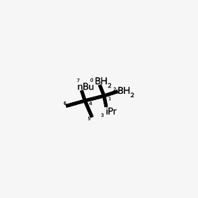 BC(B)(C(C)C)C(C)(C)CCCC